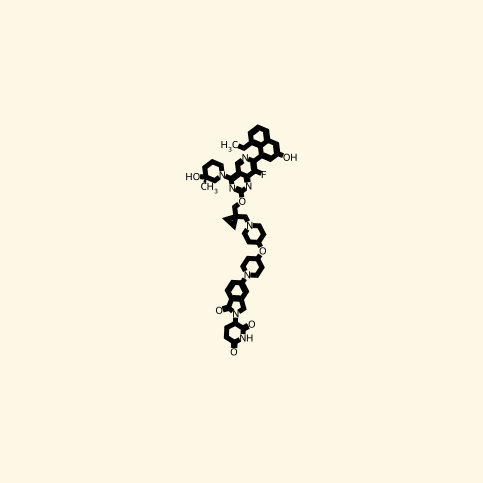 CCc1cccc2cc(O)cc(-c3ncc4c(N5CCC[C@@](C)(O)C5)nc(OCC5(CN6CCC(OC7CCN(c8ccc9c(c8)CN(C8CCC(=O)NC8=O)C9=O)CC7)CC6)CC5)nc4c3F)c12